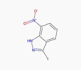 O=[N+]([O-])c1cccc2c(I)n[nH]c12